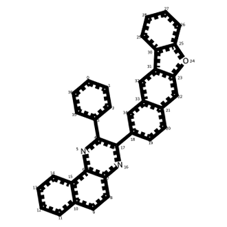 c1ccc(-c2nc3c(ccc4ccccc43)nc2-c2ccc3cc4oc5ccccc5c4cc3c2)cc1